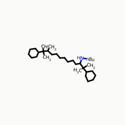 CCCCNC(CCCCCCCC(C)C(C)(C)C1CCCCC1)C(C)(C)C1CCCCC1